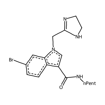 CCCCCNC(=O)c1cn(CC2=NCCN2)c2cc(Br)ccc12